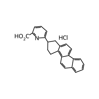 Cl.O=C(O)c1cccc(C2CCc3c(ccc4c3ccc3ccccc34)C2)n1